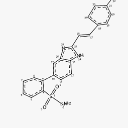 CNS(=O)(=O)c1ccccc1-c1ccc2[nH]c(C=Cc3ccc(C#N)cc3)nc2c1